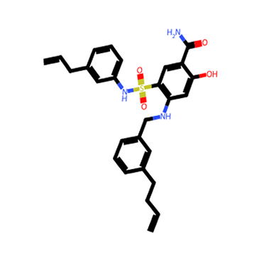 C=CCCc1cccc(CNc2cc(O)c(C(N)=O)cc2S(=O)(=O)Nc2cccc(CC=C)c2)c1